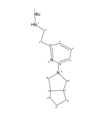 CC(C)(C)NCCc1cccc(N2CC3CCCC3C2)n1